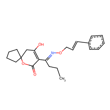 CCCC(=NOCC=Cc1ccccc1)C1=C(O)CC2(CCCC2)OC1=O